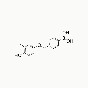 Cc1cc(OCc2ccc(B(O)O)cc2)ccc1O